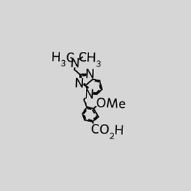 COc1cc(C(=O)O)ccc1Cn1cccc2nc(CN(C)C)nc1-2